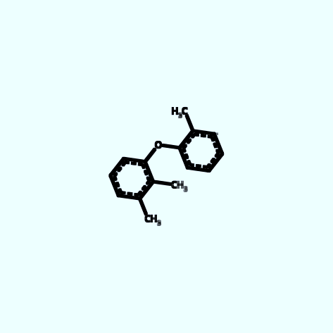 Cc1[c]cccc1Oc1cccc(C)c1C